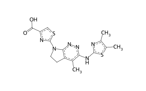 Cc1nc(Nc2nnc3c(c2C)CCN3c2nc(C(=O)O)cs2)sc1C